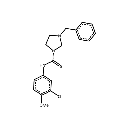 COc1ccc(NC(=S)N2CCN(Cc3ccccc3)C2)cc1Cl